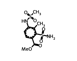 COC(=O)c1ccc(NS(C)(=O)=O)c(C)c1S(N)(=O)=O